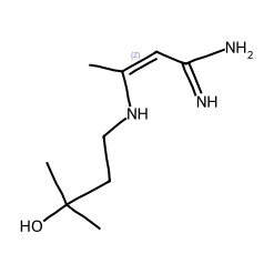 C/C(=C/C(=N)N)NCCC(C)(C)O